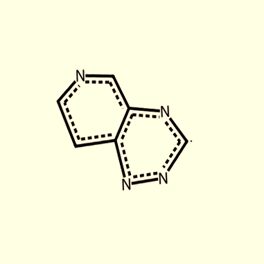 [c]1nnc2ccncc2n1